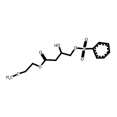 CCCCOC(=O)CC(O)COS(=O)(=O)c1ccccc1